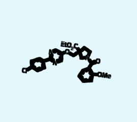 CCOC(=O)C1(COc2cnc(-c3ccc(Cl)cc3)nc2)CCN(C(=O)c2ccccc2OC)C1